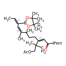 C=C(CC/C(=C/C(=O)C(C)CCC)C(C)(C)COC(C)=O)/C(C)=C\C(=C/C)B1OC(C)(C)C(C)(C)O1